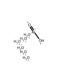 O.O.O.O.O.O.[O]=[Al][OH]